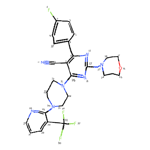 N#Cc1c(-c2ccc(F)cc2)nc(N2CCOCC2)nc1N1CCN(c2ncccc2C(F)(F)F)CC1